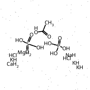 CC(=O)O.Cl.Cl.O=P(O)(O)O.O=S(=O)(O)O.[CaH2].[KH].[KH].[KH].[MgH2].[NaH]